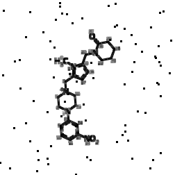 Cn1c(CN2CCN(c3cccc([N+](=O)[O-])c3)CC2)ccc1CN1CCCCC1=O